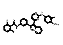 COc1ccc(Nc2nccc(-c3c(-c4cccc(NC(=O)c5c(F)cccc5F)c4)nn4ccccc34)n2)cc1F